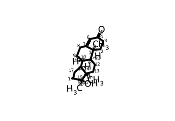 C[C@]12CCC(=O)C=C1CC[C@@H]1[C@@H]2CC[C@@]2(C)[C@H]1CC[C@@]2(C)O